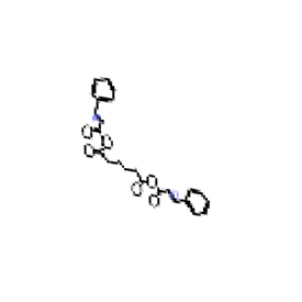 O=C(/C=C/c1ccccc1)OC(=O)CCCCC(=O)OC(=O)/C=C/c1ccccc1